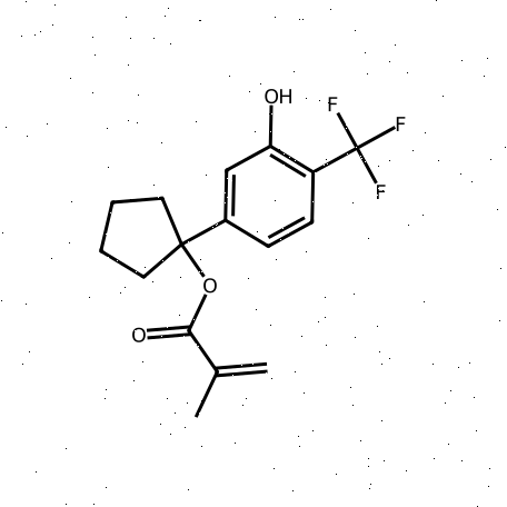 C=C(C)C(=O)OC1(c2ccc(C(F)(F)F)c(O)c2)CCCC1